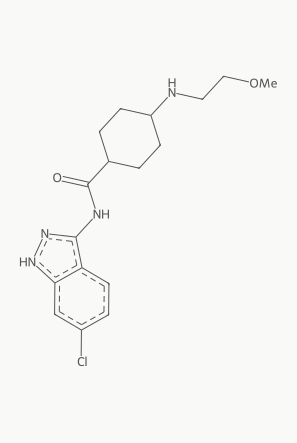 COCCNC1CCC(C(=O)Nc2n[nH]c3cc(Cl)ccc23)CC1